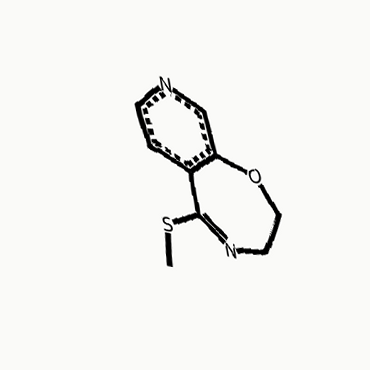 CSC1=NCCOc2cnccc21